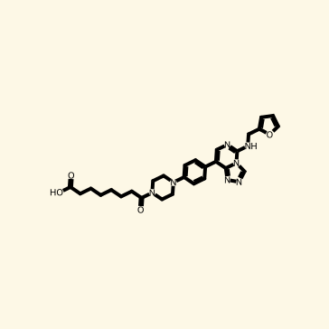 O=C(O)CCCCCCC(=O)N1CCN(c2ccc(-c3cnc(NCc4ccco4)n4cnnc34)cc2)CC1